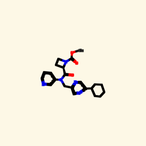 CC(C)(C)OC(=O)N1CC[C@@H]1C(=O)N(Cc1cnc(C2CCCCC2)cn1)c1cccnc1